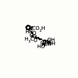 CC(OC(=O)CCC[C@H](CON(O)O)ON(O)O)OC(=O)NCC1(CC(=O)O)CCCCC1